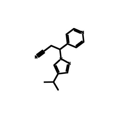 CC(C)c1cnn(C(CC#N)c2ccncc2)c1